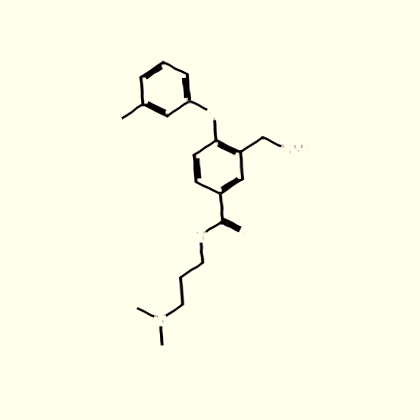 CNCc1cc(C(=O)NCCCN(C)C)ccc1Oc1cccc(C)c1